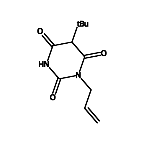 C=CCN1C(=O)NC(=O)C(C(C)(C)C)C1=O